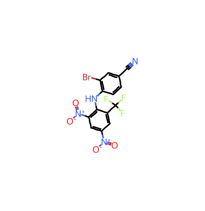 N#Cc1ccc(Nc2c([N+](=O)[O-])cc([N+](=O)[O-])cc2C(F)(F)F)c(Br)c1